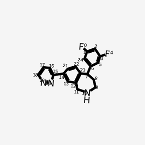 Fc1cc(F)cc(C2CCNCc3cc(-c4cccnn4)ccc32)c1